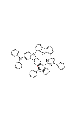 c1ccc(-c2nc(-c3ccccc3)nc(-c3cccc4c3oc3c(-n5c6ccc(N(c7ccccc7)c7ccccc7)cc6c6cc(N(c7ccccc7)c7ccccc7)ccc65)cccc34)n2)cc1